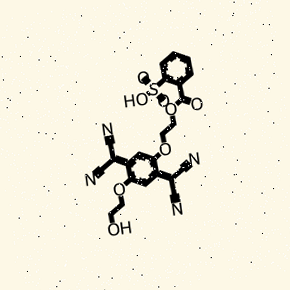 N#CC(C#N)=c1cc(OCCOC(=O)c2ccccc2S(=O)(=O)O)c(=C(C#N)C#N)cc1OCCO